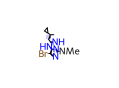 CNc1ncc(Br)c(NC(=N)/C=C(\C)C2CC2)n1